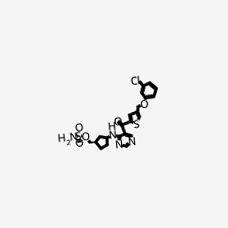 NS(=O)(=O)OC[C@@H]1CCC(Nc2ncncc2C(=O)c2cc(COc3cccc(Cl)c3)cs2)C1